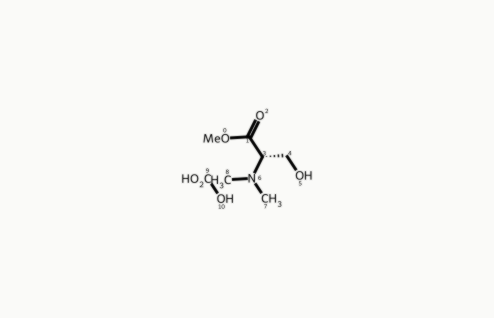 COC(=O)[C@H](CO)N(C)C.O=C(O)O